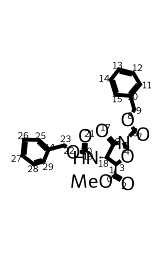 COC(=O)[C@@H]1ON(C(=O)OCc2ccccc2)C(=O)[C@H]1NC(=O)OCc1ccccc1